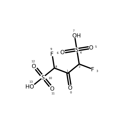 O=C(C(F)S(=O)(=O)O)C(F)S(=O)(=O)O